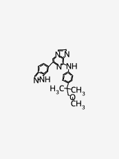 COCC(C)(C)c1ccc(Nc2nc(-c3ccc4cn[nH]c4c3)cn3ccnc23)cc1